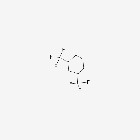 FC(F)(F)C1CCCC(C(F)(F)F)C1